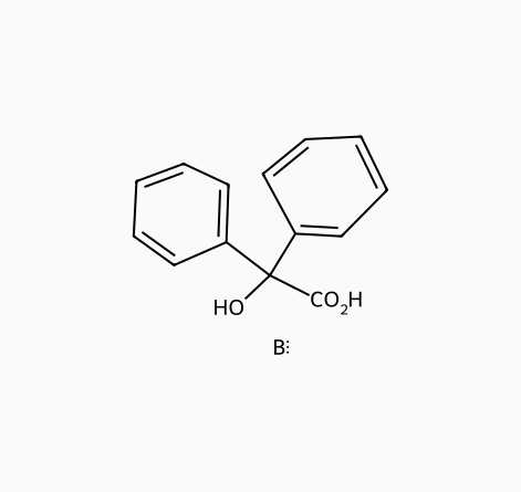 O=C(O)C(O)(c1ccccc1)c1ccccc1.[B]